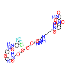 N=N/C(=C\NCCCCCC(=O)Nc1cccc2c1C(=O)N(C1CCC(=O)NC1=O)C2=O)COCCOCCOCCOCCOCCNC(=O)c1cc(Oc2ccc(NC(=O)Nc3ccc(Cl)c(C(F)(F)F)c3)cc2)ccn1